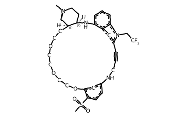 CN1CC[C@H]2Nc3cccc4c3cc(n4CC(F)(F)F)C#CCNc3ccc(S(C)(=O)=O)c(c3)OCCOCCOCC[C@H]2C1